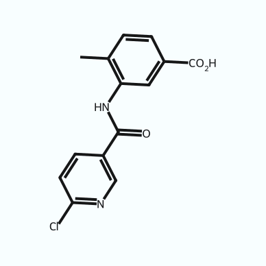 Cc1ccc(C(=O)O)cc1NC(=O)c1ccc(Cl)nc1